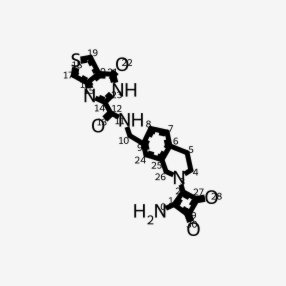 Nc1c(N2CCc3ccc(CNC(=O)c4nc5cscc5c(=O)[nH]4)cc3C2)c(=O)c1=O